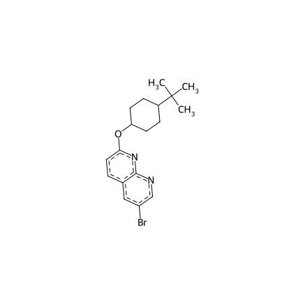 CC(C)(C)C1CCC(Oc2ccc3cc(Br)cnc3n2)CC1